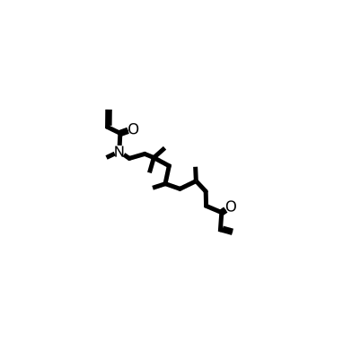 C=CC(=O)CCC(C)CC(C)CC(C)(C)CCN(C)C(=O)C=C